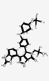 CC(F)(F)CN1C(=O)c2[nH]nc(-c3cccc4[nH]c(=O)oc34)c2C1c1ccc(Sc2ccc(OC(F)(F)F)cc2)cc1